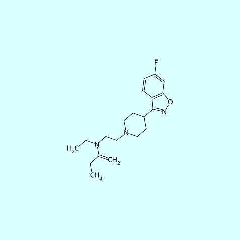 C=C(CC)N(CC)CCN1CCC(c2noc3cc(F)ccc23)CC1